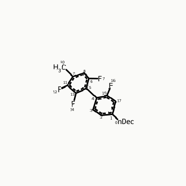 CCCCCCCCCCc1ccc(-c2c(F)cc(C)c(F)c2F)c(F)c1